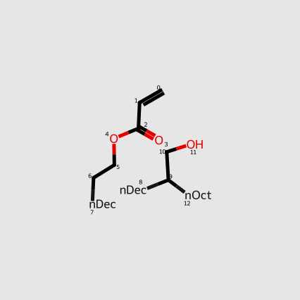 C=CC(=O)OCCCCCCCCCCCC.CCCCCCCCCCC(CO)CCCCCCCC